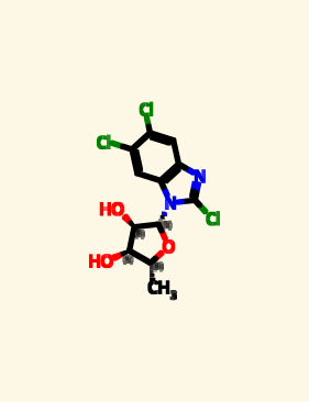 C[C@H]1O[C@@H](n2c(Cl)nc3cc(Cl)c(Cl)cc32)[C@H](O)[C@@H]1O